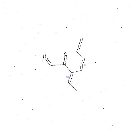 C=C/C=C\C(=C/C)C(=O)C=O